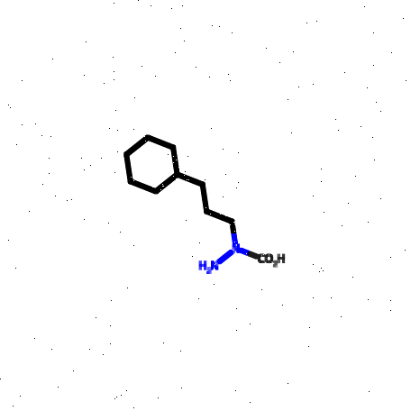 NN(CCCC1CCCCC1)C(=O)O